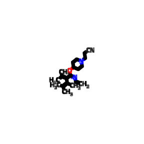 C=C/N=C(/OC1CCN(CCC#N)CC1)C(=C(C)C)C(C)=C(C)C